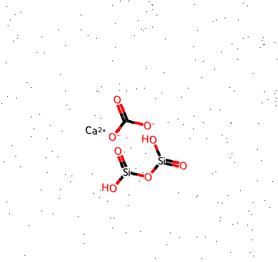 O=C([O-])[O-].O=[Si](O)O[Si](=O)O.[Ca+2]